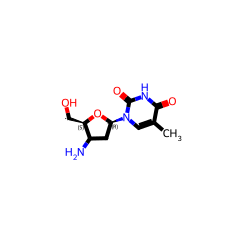 Cc1cn([C@H]2CC(N)[C@@H]([CH]O)O2)c(=O)[nH]c1=O